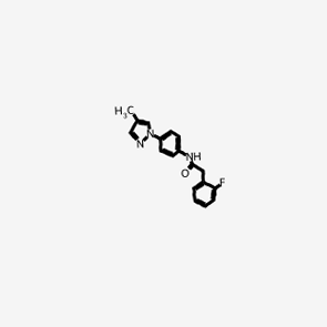 Cc1cnn(-c2ccc(NC(=O)Cc3ccccc3F)cc2)c1